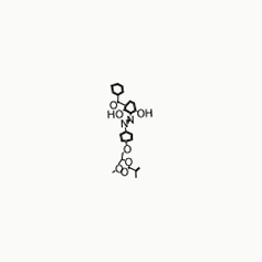 C=C(C)C(=O)OC(COC)COc1ccc(N=Nc2c(O)ccc(C(=O)c3ccccc3)c2O)cc1